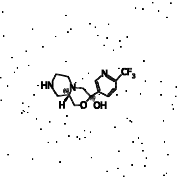 O[C@@]1(c2ccc(C(F)(F)F)nc2)CN2CCNC[C@H]2CO1